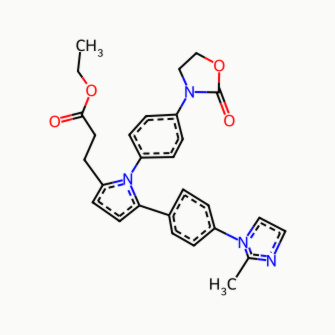 CCOC(=O)CCc1ccc(-c2ccc(-n3ccnc3C)cc2)n1-c1ccc(N2CCOC2=O)cc1